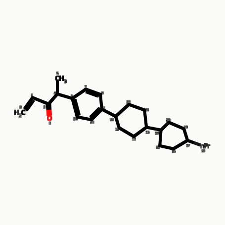 C=CC(=O)C(C)c1ccc(C2CCC(C3CCC(CCC)CC3)CC2)cc1